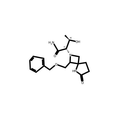 C[C@@H](O)[C@@H](C(N)=O)N1CC2(CCC(=O)N2)C1COCc1ccccc1